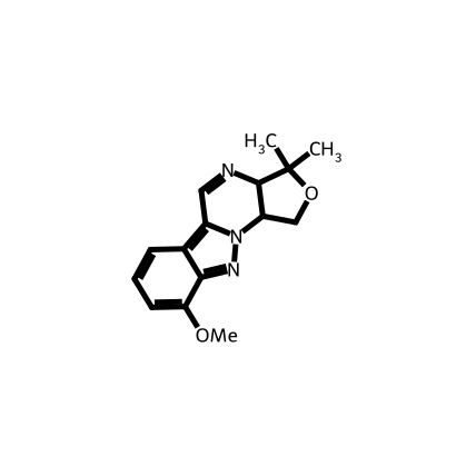 COc1cccc2c3n(nc12)C1COC(C)(C)C1N=C3